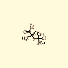 CCCCC(C)(C)CC(C)(C)C(N)=O